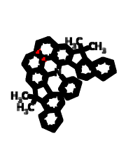 CC1(C)c2cc3ccccc3c(N(c3ccccc3)c3c4c(cc5ccccc35)C(C)(C)c3c-4ccc4ccccc34)c2-c2ccc3ccccc3c21